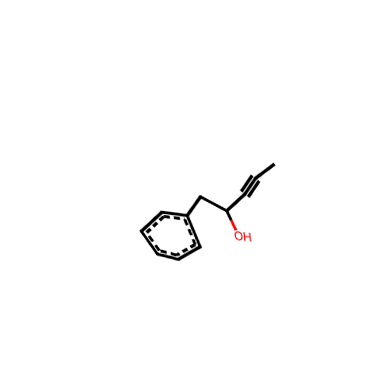 CC#CC(O)Cc1ccccc1